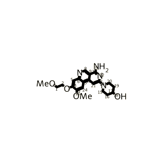 COCCOc1cc2ncc3c(N)nc(N4CCC(O)CC4)cc3c2cc1OC